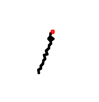 CCCCCCCCCCCCCC12CC(C=O)(C1)C2